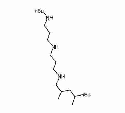 CCCCNCCCNCCCNCC(C)CC(C)C(C)CC